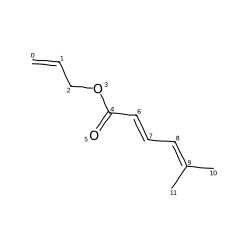 C=CCOC(=O)C=CC=C(C)C